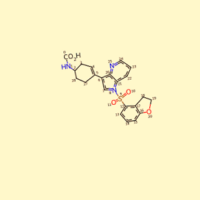 O=C(O)NC1CC=C(c2cn(S(=O)(=O)c3cccc4c3CCO4)c3cccnc23)CC1